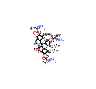 COc1cc(-c2c3n(c4c(=O)oc5cc(OC(=O)[C@H](N)C(C)C)c(OC)cc5c24)CCc2cc(OC(=O)[C@H](N)C(C)C)c(OC)cc2-3)ccc1OC(=O)[C@H](N)C(C)C